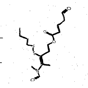 CCCCSS/C(CCOC(=O)CCCC=O)=C(/C)N(C)C=O